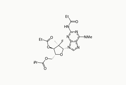 CCC(=O)Nc1nc(NC)c2ncn([C@@H]3O[C@H](COC(=O)C(C)C)[C@@H](OC(=O)CC)[C@@]3(C)F)c2n1